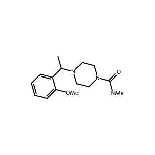 CNC(=O)N1CCN(C(C)c2ccccc2OC)CC1